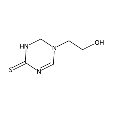 OCCN1C=NC(=S)NC1